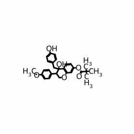 COc1ccc(C2COc3cc(OC(=O)C(C)(C)C)ccc3C2(O)Cc2ccc(O)cc2)cc1